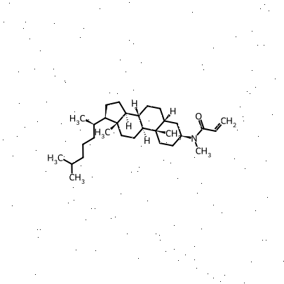 C=CC(=O)N(C)[C@H]1CC[C@@]2(C)[C@H](CC[C@@H]3[C@@H]2CC[C@]2(C)[C@@H]([C@H](C)CCCC(C)C)CC[C@@H]32)C1